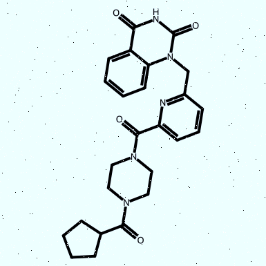 O=C(c1cccc(Cn2c(=O)[nH]c(=O)c3ccccc32)n1)N1CCN(C(=O)C2CCCC2)CC1